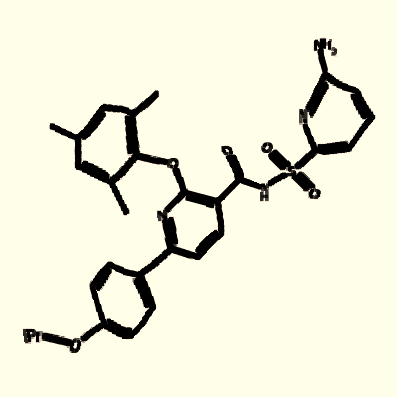 Cc1cc(C)c(Oc2nc(-c3ccc(OC(C)C)cc3)ccc2C(=O)NS(=O)(=O)c2cccc(N)n2)c(C)c1